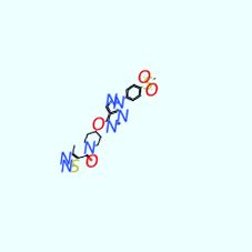 Cc1nnsc1C(=O)N1CCC(Oc2ncnc3c2cnn3-c2ccc(S(C)(=O)=O)cc2)CC1